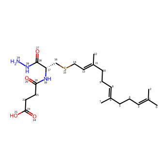 CC(C)=CCCC(C)=CCCC(C)=CCSC[C@H](NC(=O)CCC(=O)O)C(=O)NN